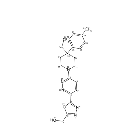 OCc1nnc(-c2ccc(N3CCC(CC(F)(F)F)(c4ccc(C(F)(F)F)cc4)CC3)nn2)o1